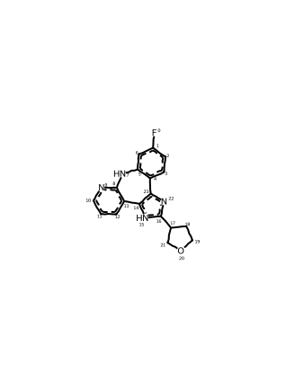 Fc1ccc2c(c1)Nc1ncccc1-c1[nH]c(C3CCOC3)nc1-2